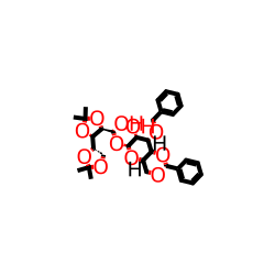 CC1(C)OC[C@@H]([C@H]2OC(C)(C)O[C@H]2C(O)O[C@@H]2O[C@@H]3COC(c4ccccc4)O[C@H]3[C@H](OCc3ccccc3)[C@@H]2O)O1